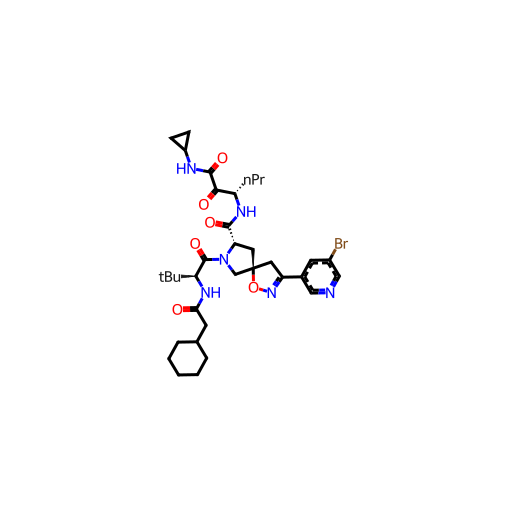 CCC[C@H](NC(=O)[C@@H]1C[C@]2(CC(c3cncc(Br)c3)=NO2)CN1C(=O)[C@@H](NC(=O)CC1CCCCC1)C(C)(C)C)C(=O)C(=O)NC1CC1